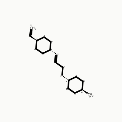 C=C[C@H]1CC[C@H](C=CCC[C@H]2CC[C@H](C)CC2)CC1